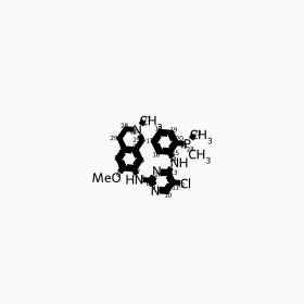 COc1cc2c(cc1Nc1ncc(Cl)c(Nc3ccccc3P(C)C)n1)CN(C)CC2